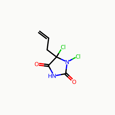 C=CCC1(Cl)C(=O)NC(=O)N1Cl